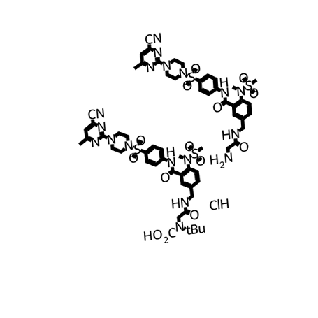 Cc1cc(C#N)nc(N2CCN(S(=O)(=O)c3ccc(NC(=O)c4cc(CNC(=O)CN(C(=O)O)C(C)(C)C)ccc4N(C)S(C)(=O)=O)cc3)CC2)n1.Cc1cc(C#N)nc(N2CCN(S(=O)(=O)c3ccc(NC(=O)c4cc(CNC(=O)CN)ccc4N(C)S(C)(=O)=O)cc3)CC2)n1.Cl